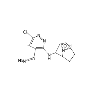 Cc1c(Cl)nnc(NC2CCC3CCC2N3C(=O)O)c1N=[N+]=[N-]